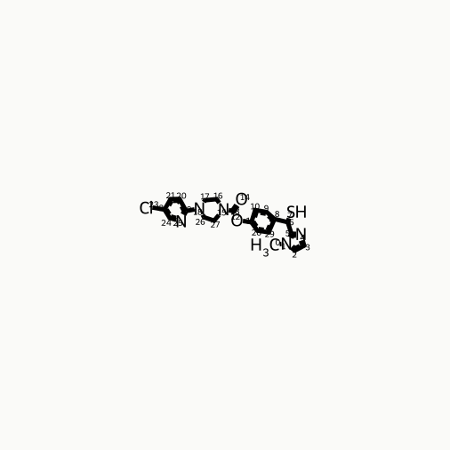 Cn1ccnc1C(S)c1ccc(OC(=O)N2CCN(c3ccc(Cl)cn3)CC2)cc1